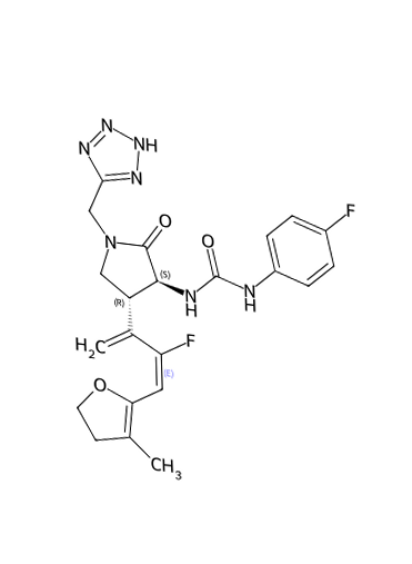 C=C(/C(F)=C\C1=C(C)CCO1)[C@@H]1CN(Cc2nn[nH]n2)C(=O)[C@H]1NC(=O)Nc1ccc(F)cc1